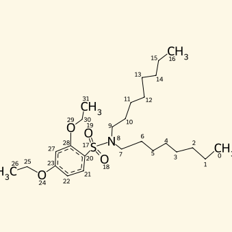 CCCCCCCCN(CCCCCCCC)S(=O)(=O)c1ccc(OCC)cc1OCC